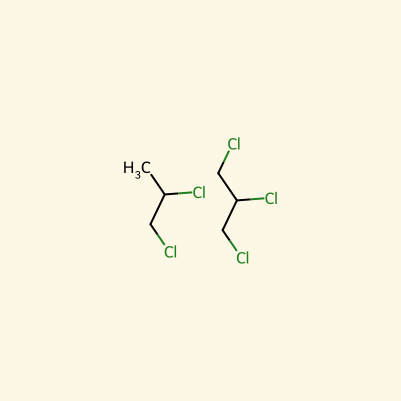 CC(Cl)CCl.ClCC(Cl)CCl